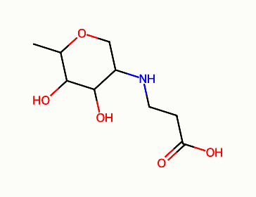 CC1OCC(NCCC(=O)O)C(O)C1O